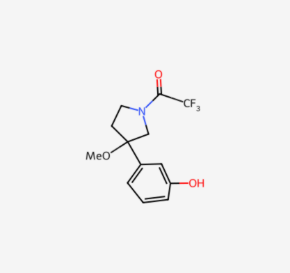 COC1(c2cccc(O)c2)CCN(C(=O)C(F)(F)F)C1